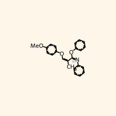 COc1ccc(OC=C(C)/C(=N\c2ccccc2)Oc2ccccc2)cc1